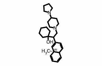 C[C@@]12C=CC=CC1C=CC(C(CN1CCC(N3CCCC3)CC1)C1(O)CCCCC1)=C2